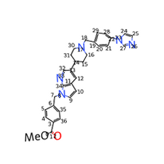 COC(=O)c1ccc(Cn2ccc3cc(C4CCN(Cc5ccc(-n6ccnc6)cc5)CC4)cnc32)cc1